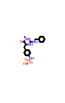 CNC(=O)C(Cc1ccc(NS(=O)(=O)O)cc1)NC(=O)NCc1ccccc1